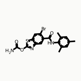 Cc1cc(C)c(NC(=O)c2cc3nc(OC(N)=O)sc3cc2Br)c(C)c1